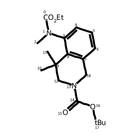 CCOC(=O)N(C)c1cccc2c1C(C)(C)CN(C(=O)OC(C)(C)C)C2